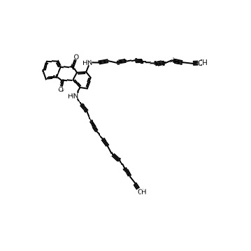 C#CC#CC#CC#CC#CC#CNc1ccc(NC#CC#CC#CC#CC#CC#C)c2c1C(=O)c1ccccc1C2=O